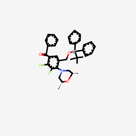 C[C@@H]1CN(c2c(CO[Si](c3ccccc3)(c3ccccc3)C(C)(C)C)cc(C(=O)c3ccccc3)c(F)c2F)C[C@H](C)O1